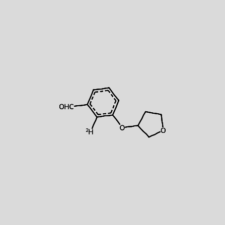 [2H]c1c(C=O)cccc1OC1CCOC1